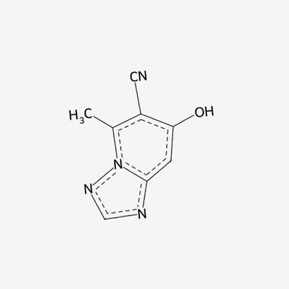 Cc1c(C#N)c(O)cc2ncnn12